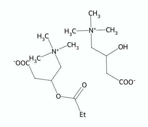 CCC(=O)OC(CC(=O)[O-])C[N+](C)(C)C.C[N+](C)(C)CC(O)CC(=O)[O-]